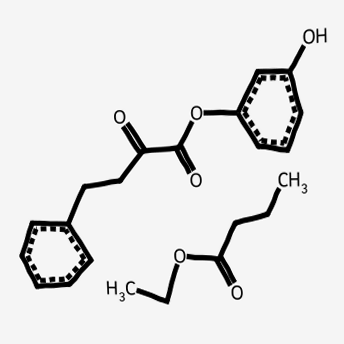 CCCC(=O)OCC.O=C(CCc1ccccc1)C(=O)Oc1cccc(O)c1